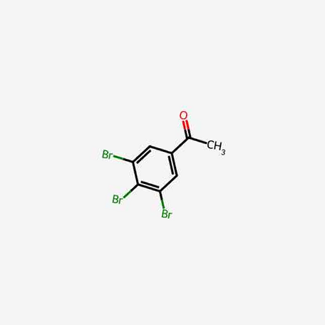 CC(=O)c1cc(Br)c(Br)c(Br)c1